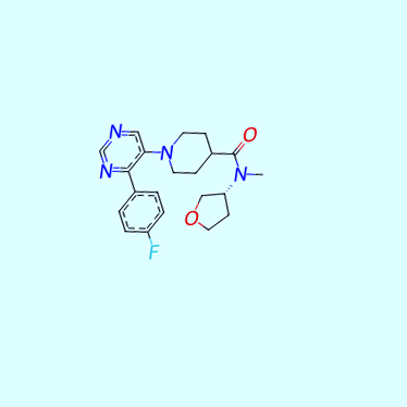 CN(C(=O)C1CCN(c2cncnc2-c2ccc(F)cc2)CC1)[C@@H]1CCOC1